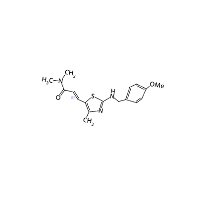 COc1ccc(CNc2nc(C)c(/C=C/C(=O)N(C)C)s2)cc1